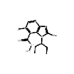 CCC(CC)n1c(O)nc2ncc(Cl)c(C(=N)NO)c21